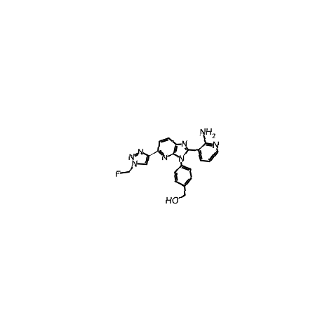 Nc1ncccc1-c1nc2ccc(-c3cn(CF)nn3)nc2n1-c1ccc(CO)cc1